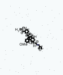 COc1ccc2c3c1O[C@H]1[C@H](NC(=O)/C=C/c4ccoc4)CC[C@@]4(O)[C@@H](C2)N(S(=O)(=O)c2cccc(C(=O)N(C)C)c2)CC[C@]314